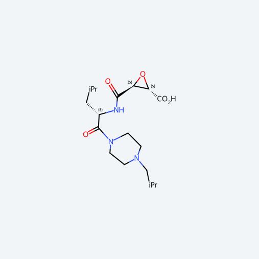 CC(C)C[C@H](NC(=O)[C@H]1O[C@@H]1C(=O)O)C(=O)N1CCN(CC(C)C)CC1